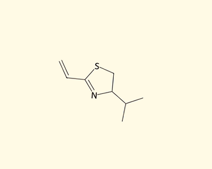 C=CC1=NC(C(C)C)CS1